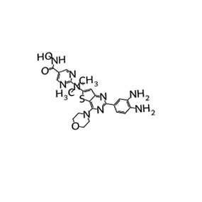 C[N+](C)(c1ncc(C(=O)NO)cn1)c1cc2nc(-c3ccc(N)c(N)c3)nc(N3CCOCC3)c2s1